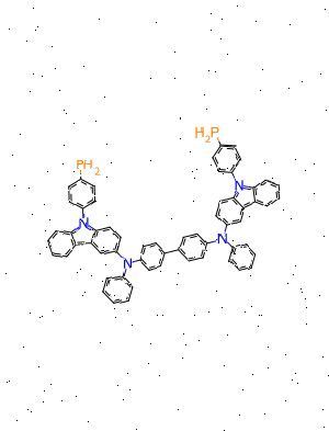 Pc1ccc(-n2c3ccccc3c3cc(N(c4ccccc4)c4ccc(-c5ccc(N(c6ccccc6)c6ccc7c(c6)c6ccccc6n7-c6ccc(P)cc6)cc5)cc4)ccc32)cc1